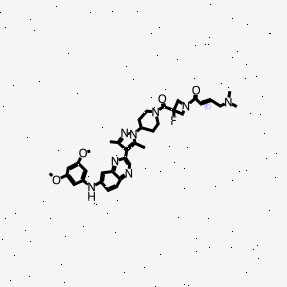 COc1cc(Nc2ccc3ncc(-c4c(C)nn(C5CCN(C(=O)C6(F)CN(C(=O)/C=C/CN(C)C)C6)CC5)c4C)nc3c2)cc(OC)c1